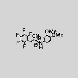 COc1ccc(NS(=O)(=O)C(C#N)=Cc2c(F)c(F)c(F)c(F)c2F)cc1OC